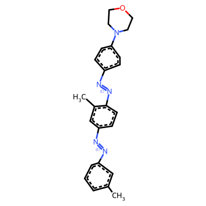 Cc1cccc(/N=N/c2ccc(/N=N/c3ccc(N4CCOCC4)cc3)c(C)c2)c1